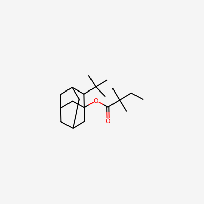 CCC(C)(C)C(=O)OC12CC3CC(CC(C3)C1C(C)(C)C)C2